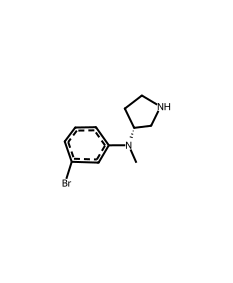 CN(c1cccc(Br)c1)[C@@H]1CCNC1